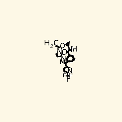 C=CC(=O)N1CCC(n2nc(-c3ccc(C(F)(F)F)nc3)c3cccc(C(=O)NC4CC4)c32)C1